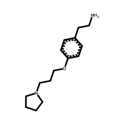 NCCc1ccc(OCCCN2CCCC2)cc1